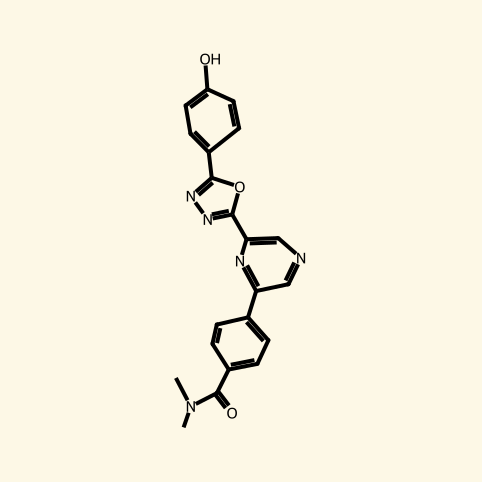 CN(C)C(=O)c1ccc(-c2cncc(-c3nnc(-c4ccc(O)cc4)o3)n2)cc1